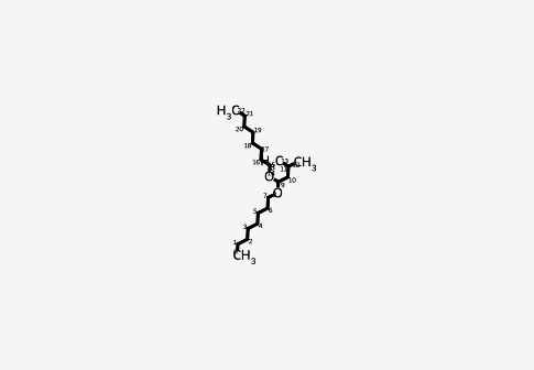 CCCCCCCCOC(CC(C)C)OCCCCCCCC